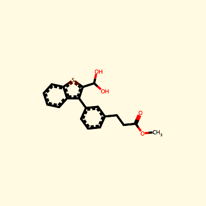 COC(=O)CCc1cccc(-c2c(C(O)O)sc3ccccc23)c1